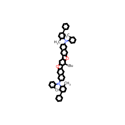 Cc1ccccc1N(c1ccc2cc3c(cc2c1)oc1c(C(C)(C)C)c2c(cc13)oc1cc3cc(N(c4ccccc4C)c4cc(-c5ccccc5)ccc4C)ccc3cc12)c1cc(-c2ccccc2)ccc1C